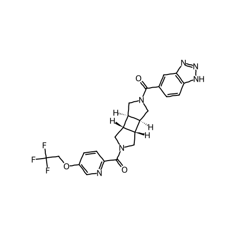 O=C(c1ccc2[nH]nnc2c1)N1C[C@@H]2[C@H](C1)[C@H]1CN(C(=O)c3ccc(OCC(F)(F)F)cn3)C[C@@H]21